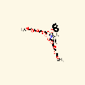 COCCOCCOCCOCC(=O)O[C@H](COc1cccc2ccccc12)CN(C(=O)COCCOCCOCCOC)C(C)C